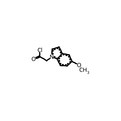 COc1ccc2c(ccn2CC(=O)Cl)c1